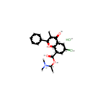 Cc1c(-c2ccccc2)oc2c(C(=O)OC(C)N(C)C)cc(Cl)cc2c1=O.Cl